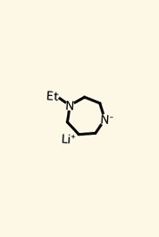 CCN1CCC[N-]CC1.[Li+]